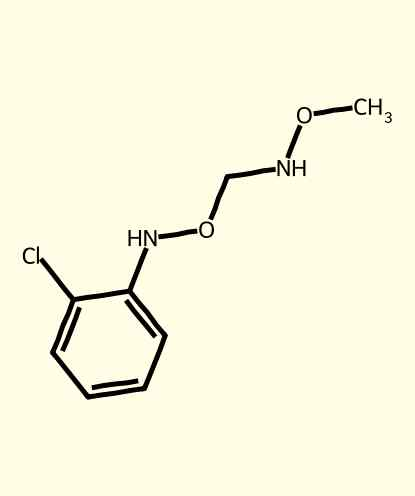 CONCONc1ccccc1Cl